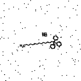 CCCCCCCCCCCCCC[PH](c1ccccc1)(c1ccccc1)c1ccccc1.Cl.Cl